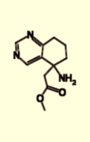 COC(=O)CC1(N)CCCc2ncncc21